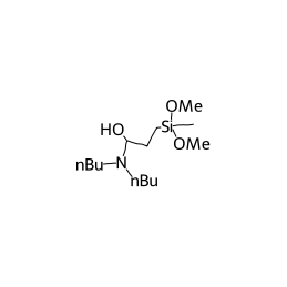 CCCCN(CCCC)C(O)CC[Si](C)(OC)OC